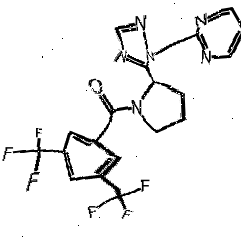 O=C(c1cc(C(F)(F)F)cc(C(F)(F)F)c1)N1CCC[C@@H]1c1ncnn1-c1ncccn1